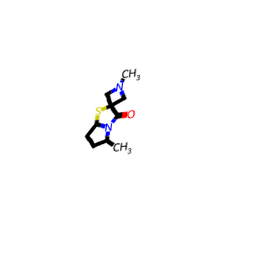 CC1CCC2SC3(CN(C)C3)C(=O)N12